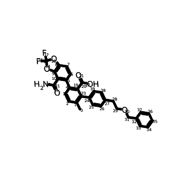 Cc1ccc(-c2ccc3c(c2C(N)=O)OC(F)(F)O3)c(C(=O)O)c1-c1ccc(CCOCc2ccccc2)cc1